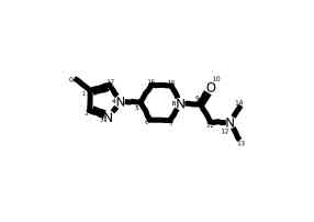 Cc1cnn(C2CCN(C(=O)CN(C)C)CC2)c1